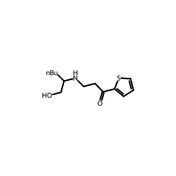 CCCCC(CO)NCCC(=O)c1cccs1